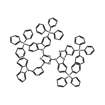 c1ccc(S(c2ccccc2)(c2ccccc2)c2ccc3c(c2)c2cc(S(c4ccccc4)(c4ccccc4)c4ccccc4)ccc2n3-c2nc(-c3cccc(-n4c5ccccc5c5ccccc54)c3)nc(-n3c4ccc(S(c5ccccc5)(c5ccccc5)c5ccccc5)cc4n4c5cc(S(c6ccccc6)(c6ccccc6)c6ccccc6)ccc5nc34)n2)cc1